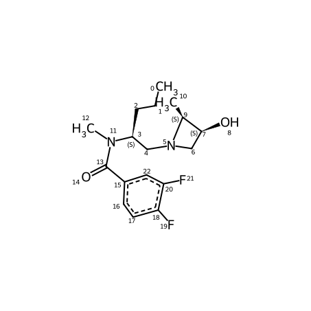 CCC[C@@H](CN1C[C@H](O)[C@@H]1C)N(C)C(=O)c1ccc(F)c(F)c1